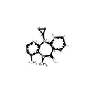 Cc1ccnc2c1N(C)C(=O)c1cccnc1N2C1CC1